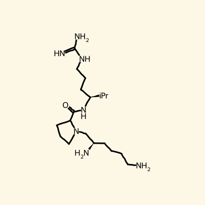 CC(C)[C@H](CCCNC(=N)N)NC(=O)C1CCCN1C[C@H](N)CCCCN